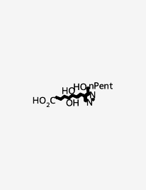 CCCCCC(O)c1ncncc1/C=C/C(O)C(O)CCCC(=O)O